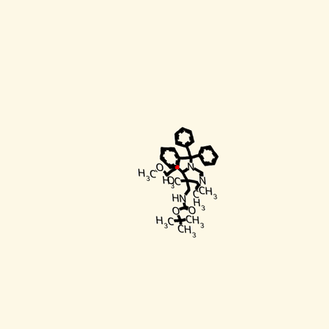 CC/N=C\N(C(CC(=O)OC)C(C)(CC)CNC(=O)OC(C)(C)C)C(c1ccccc1)(c1ccccc1)c1ccccc1